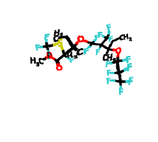 CCC(C)(OC(F)(F)C(F)(C(F)(F)F)C(C)(CC)OC(F)(F)C(F)(F)C(F)(F)F)C(F)(SC(F)(F)F)C(=O)OC